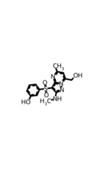 CNc1nn2c(CO)cc(C)nc2c1S(=O)(=O)c1cccc(O)c1